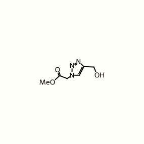 COC(=O)Cn1cc(CO)nn1